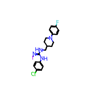 Fc1ccc(N2CCC(CN/C(=N/I)Nc3ccc(Cl)cc3)CC2)cc1